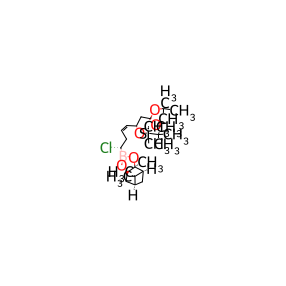 CC(C)(C)OC(=O)CC(/C=C\C[C@@H](Cl)B1OC2C[C@@H]3C[C@@H](C3(C)C)[C@]2(C)O1)O[Si](C)(C)C(C)(C)C